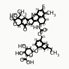 CCc1cc2c(O[C@H]3C[C@@H](O)[C@H](O)[C@@H](C(=O)O)O3)ccc(COC(=O)NC3CCc4c(C)c(F)cc5nc6c(c3c45)Cn3c-6cc4c(c3=O)COC(=O)[C@@]4(O)CC)c2s1